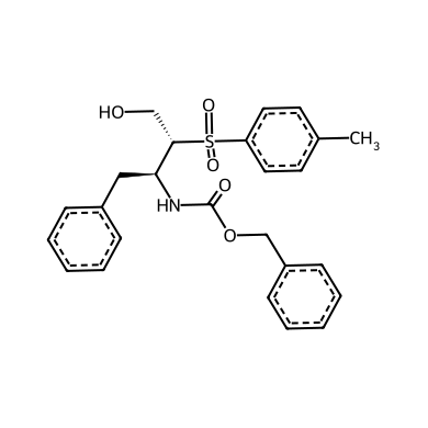 Cc1ccc(S(=O)(=O)[C@@H](CO)[C@H](Cc2ccccc2)NC(=O)OCc2ccccc2)cc1